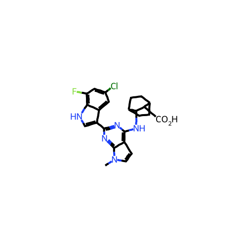 Cn1ccc2c(NC3C4CCC(CC4)C3C(=O)O)nc(-c3c[nH]c4c(F)cc(Cl)cc34)nc21